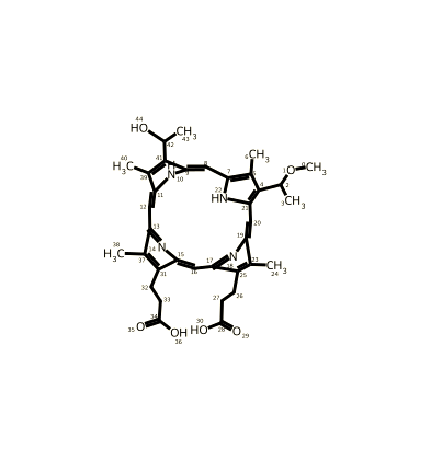 COC(C)c1c(C)c2cc3[nH]c(cc4nc(cc5nc(cc1[nH]2)C(C)=C5CCC(=O)O)C(CCC(=O)O)=C4C)c(C)c3C(C)O